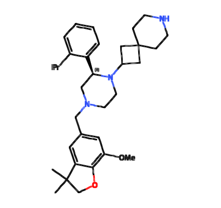 COc1cc(CN2CCN(C3CC4(CCNCC4)C3)[C@H](c3ccccc3C(C)C)C2)cc2c1OCC2(C)C